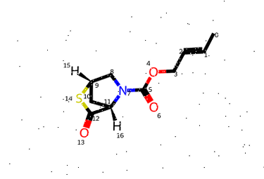 CC=CCOC(=O)N1C[C@@H]2C[C@H]1C(=O)S2